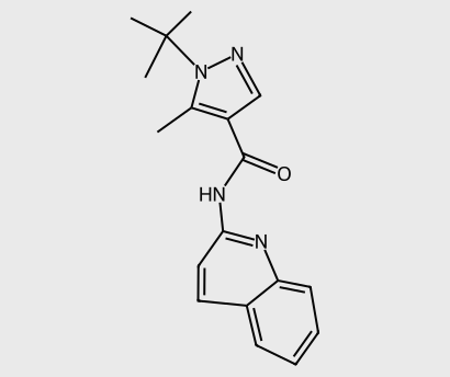 Cc1c(C(=O)Nc2ccc3ccccc3n2)cnn1C(C)(C)C